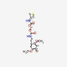 COc1cc(CCNC(=O)OCOC(=O)NC2CSC2)c(OC)cc1Br